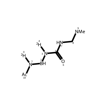 [2H]N(BN([2H])C(=O)NCNC)C(C)=O